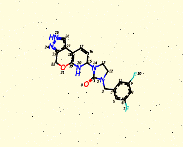 O=C1N(Cc2cc(F)cc(F)c2)CCN1C1C=CC2=C(N1)OCc1n[nH]cc12